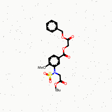 COc1ccc(C(=O)OCC(=O)OCc2ccccc2)cc1N(CC(=O)OC(C)(C)C)[SH](=O)=O